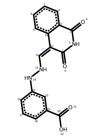 O=C1NC(=O)c2ccccc2/C1=C/NNc1cccc(C(=O)O)c1